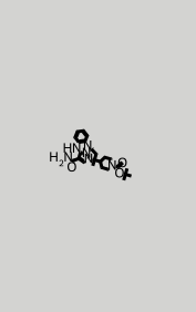 CC(C)(C)OC(=O)N1CCC(C(C)(CC#N)n2cc(C(N)=O)c(Nc3ccccc3)n2)CC1